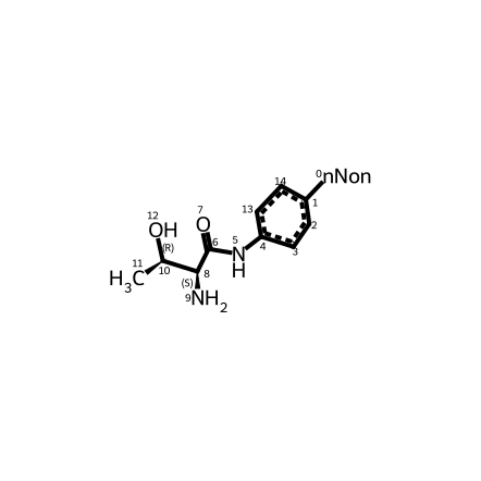 CCCCCCCCCc1ccc(NC(=O)[C@@H](N)[C@@H](C)O)cc1